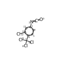 O=C=Nc1ccc(C(Cl)(Cl)Cl)c(Cl)c1